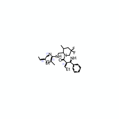 C\C=C(Cl)/C=N\C(NCC1C(C)CC(F)(F)CN1C(=O)/C(=C/CC)C(=N)c1ccccc1)=C(\C)CC